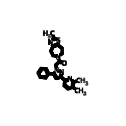 Cc1nc2c(s1)CCN(C(=O)Cn1nc(-c3ccc(C)c(C)n3)cc1-c1ccccc1)CC2